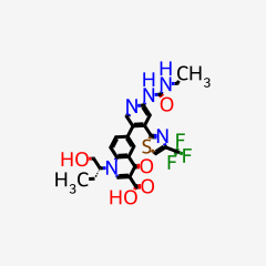 CCNC(=O)Nc1cc(-c2nc(C(F)(F)F)cs2)c(-c2ccc3c(c2)c(=O)c(C(=O)O)cn3[C@H](CC)CO)cn1